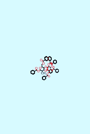 CC1C(OC(=O)c2ccccc2)OC(COC(=O)c2ccccc2)C(OC2OC(COC(=O)c3ccccc3)C(OC(=O)c3ccccc3)C(OC(=O)c3ccccc3)C2OC(=O)c2ccccc2)C1OC(=O)c1ccccc1